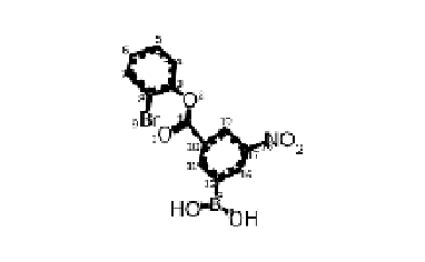 O=C(Oc1ccccc1Br)c1cc(B(O)O)cc([N+](=O)[O-])c1